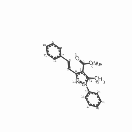 COC(=O)c1c(/C=C/c2ccccc2)nn(-c2ccccc2)c1C